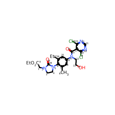 CCOC(=O)CN1CCN(c2c(C)cc(N(CCO)C(=O)c3c(Cl)ncnc3Cl)cc2CC)C1=O